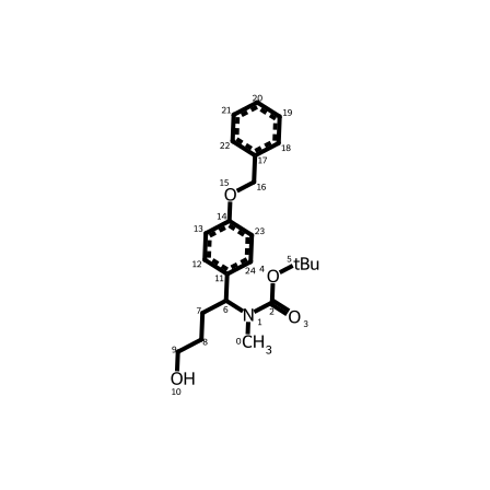 CN(C(=O)OC(C)(C)C)C(CCCO)c1ccc(OCc2ccccc2)cc1